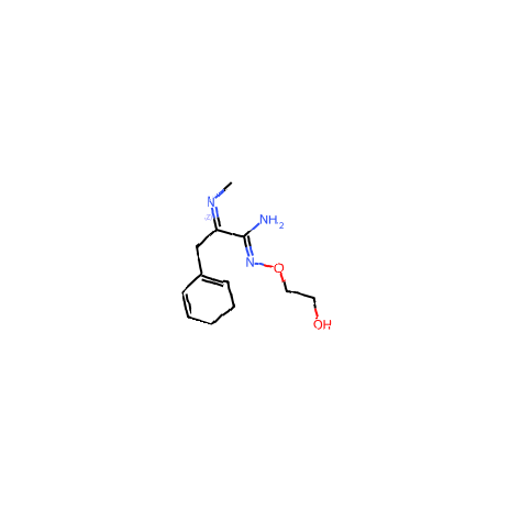 C/N=C(/CC1=CCCC=C1)C(N)=NOCCO